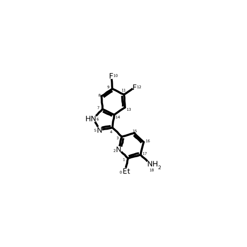 CCc1nc(-c2n[nH]c3cc(F)c(F)cc23)ccc1N